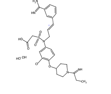 CCC(=N)N1CCC(Oc2ccc(N(C/C=C/c3cccc(C(=N)N)c3)S(=O)(=O)CC(=O)O)cc2Cl)CC1.Cl.Cl